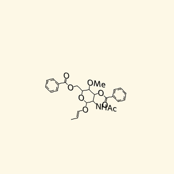 C/C=C/OC1OC(COC(=O)c2ccccc2)C(OC)C(OC(=O)c2ccccc2)C1NC(C)=O